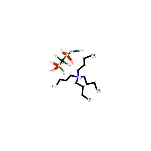 CCCC[N+](CCCC)(CCCC)CCCC.O=S(=O)(F)C(F)(F)S(=O)(=O)NF